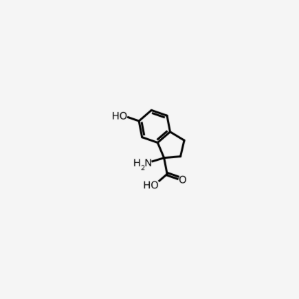 NC1(C(=O)O)CCc2ccc(O)cc21